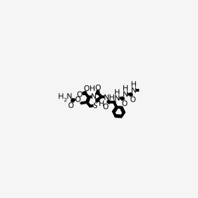 CNC(=O)NC(=O)NC(C(=O)NC1C(=O)N2C(C(=O)O)=C(COC(N)=O)CS[C@@H]12)c1ccccc1